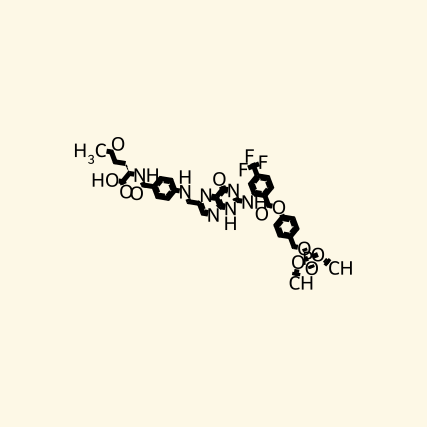 C#COP(=O)(OC#C)OCc1ccc(OC(=O)c2ccc(C(F)(F)F)cc2Nc2nc(=O)c3nc(CNc4ccc(C(=O)N[C@@H](CCC(C)=O)C(=O)O)cc4)cnc3[nH]2)cc1